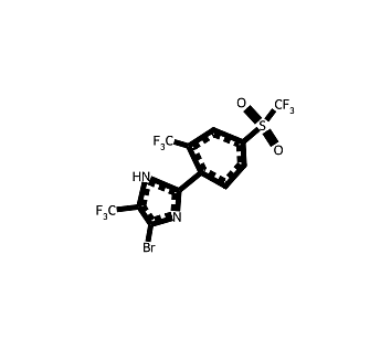 O=S(=O)(c1ccc(-c2nc(Br)c(C(F)(F)F)[nH]2)c(C(F)(F)F)c1)C(F)(F)F